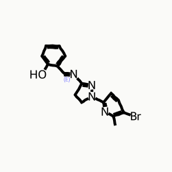 Cc1nc(N2CCC(/N=C/c3ccccc3O)=N2)ccc1Br